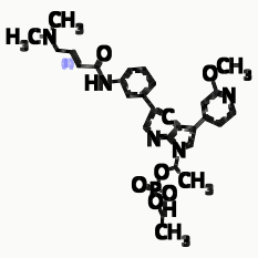 CCOP(=O)(O)OC(C)n1cc(-c2ccnc(OC)c2)c2cc(-c3cccc(NC(=O)/C=C/CN(C)C)c3)cnc21